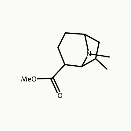 COC(=O)C1CCC2CC(C)C1N2C